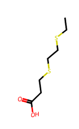 CCSCCSCCC(=O)O